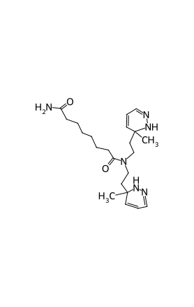 CC1(CCN(CCC2(C)C=CC=NN2)C(=O)CCCCCCC(N)=O)C=CC=NN1